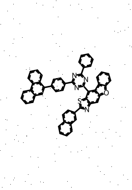 c1ccc(-c2nc(-c3ccc(-c4cc5ccccc5c5ccccc45)cc3)nc(-c3c4sc(-c5ccc6ccccc6c5)nc4cc4oc5ccccc5c34)n2)cc1